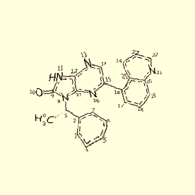 C[C@@H](c1ccccc1)n1c(=O)[nH]c2ncc(-c3cccc4ncccc34)nc21